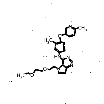 CCOCCOCCn1ccc2ncnc(Nc3ccc(Oc4ccc(C)nc4)c(C)c3)c21